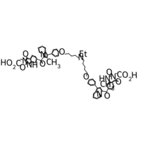 CCN(CCCCCOc1ccc(-c2c(C)c(C(=O)c3ccc4c(=O)n(CC(=O)O)c(=O)[nH]c4c3)n3ccccc23)cc1)CCCCCOc1ccc(-c2c(C)c(C(=O)c3ccc4c(=O)n(CC(=O)O)c(=O)[nH]c4c3)n3ccccc23)cc1